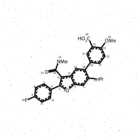 CCCc1cc2oc(-c3ccc(F)cc3)c(C(=O)NC)c2cc1-c1ccc(OC)c(C(=O)O)c1